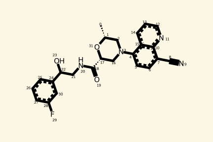 C[C@@H]1CN(c2ccc(C#N)c3ncccc23)C[C@H](C(=O)NCC(O)c2cccc(F)c2)O1